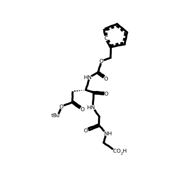 CC(C)(C)OC(=O)C[C@H](NC(=O)OCc1ccccc1)C(=O)NCC(=O)NCC(=O)O